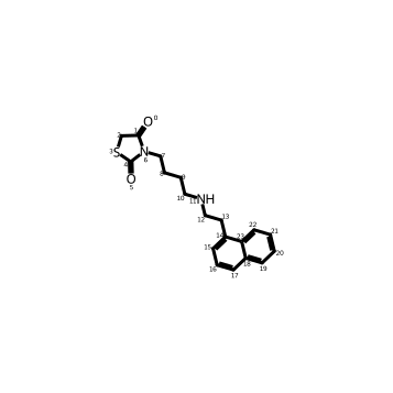 O=C1CSC(=O)N1CCCCNCCc1cccc2ccccc12